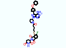 Nc1ncnc2c1c(-c1ccc(Oc3ccccc3)cc1)nn2[C@@H]1CCCN(C(=O)CCCCSc2c(F)ccc3c2C(=O)N(C2CCC(=O)NC2=O)C3=O)C1